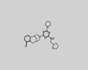 O=c1cccc2n1CC1CC2CN(c2nc(NCC3CCCO3)nc(N3CCCC3)n2)C1